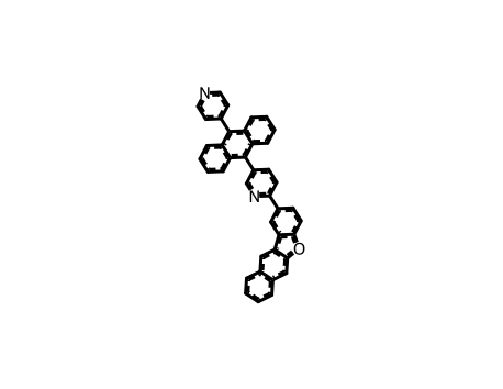 c1ccc2cc3c(cc2c1)oc1ccc(-c2ccc(-c4c5ccccc5c(-c5ccncc5)c5ccccc45)cn2)cc13